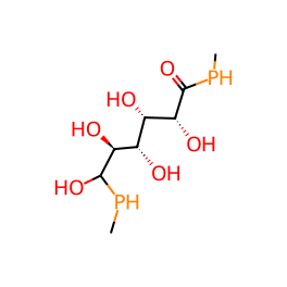 CPC(=O)[C@H](O)[C@@H](O)[C@H](O)[C@H](O)C(O)PC